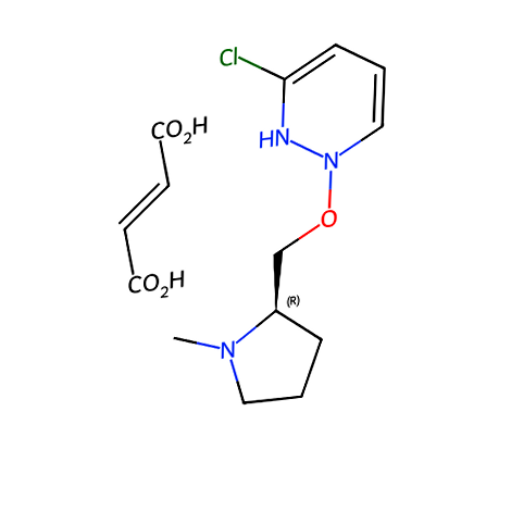 CN1CCC[C@@H]1CON1C=CC=C(Cl)N1.O=C(O)C=CC(=O)O